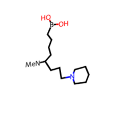 CNC(CCCCB(O)O)CCCN1CCCCC1